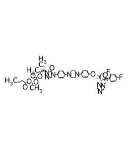 CCCC(=O)OC(C)OC(=O)OC(C)[C@H](CC)n1ncn(-c2ccc(N3CCN(c4ccc(OC[C@@H]5CO[C@@](Cn6cncn6)(c6ccc(F)cc6F)C5)cc4)CC3)cc2)c1=O